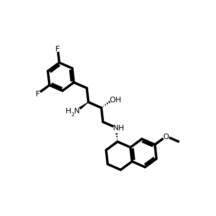 COc1ccc2c(c1)[C@@H](NC[C@@H](O)[C@@H](N)Cc1cc(F)cc(F)c1)CCC2